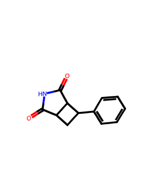 O=C1NC(=O)C2C1CC2c1ccccc1